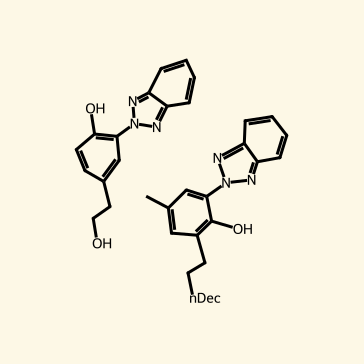 CCCCCCCCCCCCc1cc(C)cc(-n2nc3ccccc3n2)c1O.OCCc1ccc(O)c(-n2nc3ccccc3n2)c1